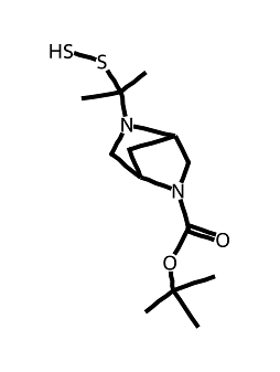 CC(C)(C)OC(=O)N1CC2CC1CN2C(C)(C)SS